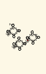 O=S(=O)([O-])c1cccc2c3nc4nc(nc5[nH]c(nc6nc(nc([nH]3)c12)-c1ccccc1-6)c1ccccc51)-c1ccccc1-4.O=S(=O)([O-])c1cccc2c3nc4nc(nc5[nH]c(nc6nc(nc([nH]3)c12)-c1ccccc1-6)c1ccccc51)-c1ccccc1-4.O=S(=O)([O-])c1cccc2c3nc4nc(nc5[nH]c(nc6nc(nc([nH]3)c12)-c1ccccc1-6)c1ccccc51)-c1ccccc1-4.[Fe+3]